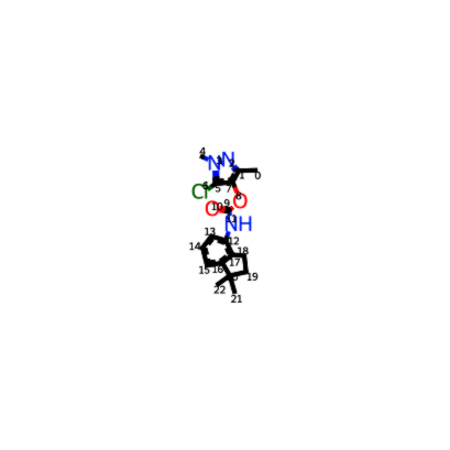 Cc1nn(C)c(Cl)c1OC(=O)Nc1cccc2c1CCC2(C)C